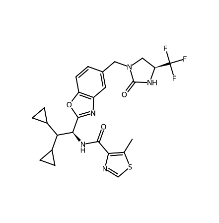 Cc1scnc1C(=O)N[C@H](c1nc2cc(CN3C[C@@H](C(F)(F)F)NC3=O)ccc2o1)C(C1CC1)C1CC1